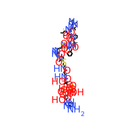 CC[C@H](C)[C@@H]([C@@H](CC(=O)N1CCC[C@H]1[C@H](OC)[C@@H](C)C(=O)N[C@@H](Cc1ccccc1)C(=O)NS(=O)(=O)CCCn1cc(CN2C(=O)CC(SCCNC(=O)CCNC(=O)[C@H](O)C(C)(C)COP(=O)(O)OP(=O)(O)OC[C@H]3O[C@H](n4cnc5c(N)ncnc54)[C@H](O)[C@@H]3OP(=O)(O)O)C2=O)nn1)OC)N(C)C(=O)[C@@H](N=C(N(C)C)N(C)C)C(C)C